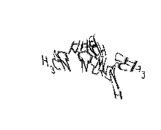 Cc1ncc(Nc2cnc(-c3ccc(N4CCN[C@H](C(C)C)C4)nn3)c(O)c2)cn1.Cl.Cl